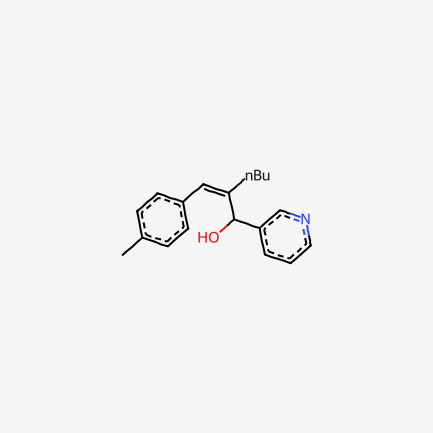 CCCCC(=Cc1ccc(C)cc1)C(O)c1cccnc1